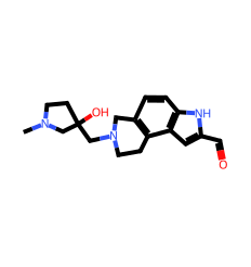 CN1CCC(O)(CN2CCc3c(ccc4[nH]c(C=O)cc34)C2)C1